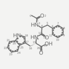 CC(=O)NC(Cc1[c]cccc1)C(=O)N[C@@H](Cc1c[nH]c2ccccc12)C(=O)O